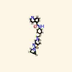 O=C(N[C@H]1CC[C@H](CCN2CCc3sc(N4CCC5CC54)nc3C2)CC1)c1cccc2ncccc12